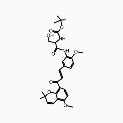 COc1ccc(/C=C/C(=O)c2ccc(OC)c3c2OC(C)(C)C=C3)cc1NC(=O)C(CO)NC(=O)OC(C)(C)C